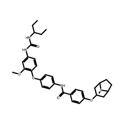 CCC(CC)NC(=O)Nc1ccc(Oc2ccc(NC(=O)c3ccc(OC4CC5CCC(C4)N5C)cc3)cc2)c(OC)c1